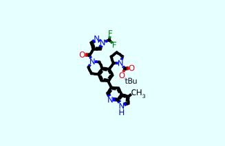 Cc1c[nH]c2ncc(-c3cc4c(c(C5CCCN5C(=O)OC(C)(C)C)c3)CN(C(=O)c3cnn(C(F)F)c3)CC4)cc12